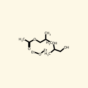 CC(=O)OCC(C)C.CC(O)CO.CCOCC